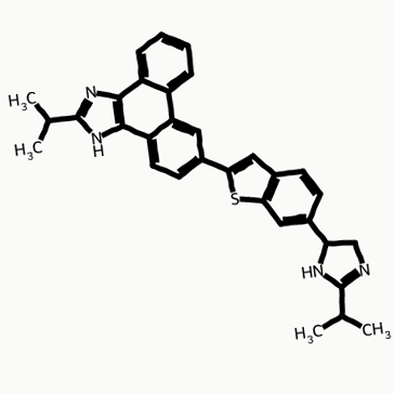 CC(C)C1=NCC(c2ccc3cc(-c4ccc5c(c4)c4ccccc4c4nc(C(C)C)[nH]c54)sc3c2)N1